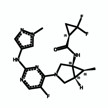 C[C@H]1[C@H]2CN(c3nc(Nc4cnn(C)c4)ncc3F)C[C@@]21NC(=O)[C@H]1CC1(F)F